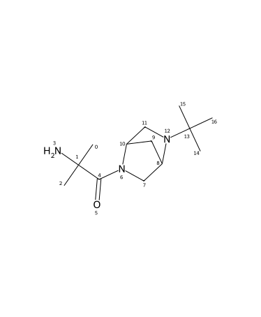 CC(C)(N)C(=O)N1CC2CC1CN2C(C)(C)C